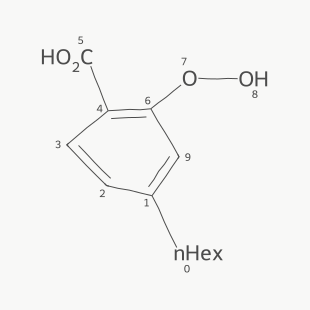 CCCCCCc1ccc(C(=O)O)c(OO)c1